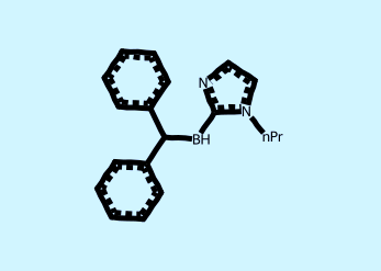 CCCn1ccnc1BC(c1ccccc1)c1ccccc1